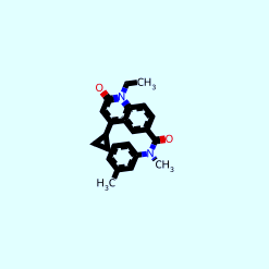 CCn1c(=O)cc(C2CC2)c2cc(C(=O)N(C)c3cccc(C)c3)ccc21